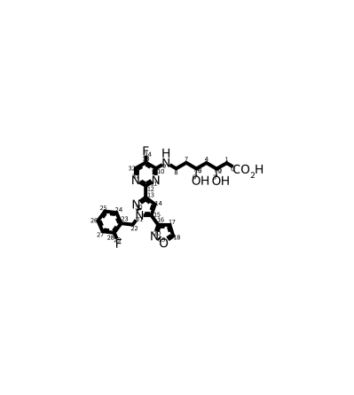 O=C(O)C[C@H](O)C[C@H](O)CCNc1nc(-c2cc(-c3ccon3)n(Cc3ccccc3F)n2)ncc1F